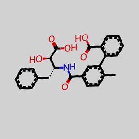 Cc1ccc(C(=O)N[C@H](Cc2ccccc2)[C@@H](O)C(=O)O)cc1-c1ccccc1C(=O)O